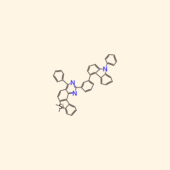 C[Si]1(C)c2ccccc2-c2c1ccc1c(-c3ccccc3)nc(-c3cccc(-c4cccc5c4c4ccccc4n5-c4ccccc4)c3)nc21